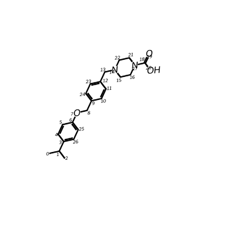 CC(C)c1ccc(OCc2ccc(CN3CCN(C(=O)O)CC3)cc2)cc1